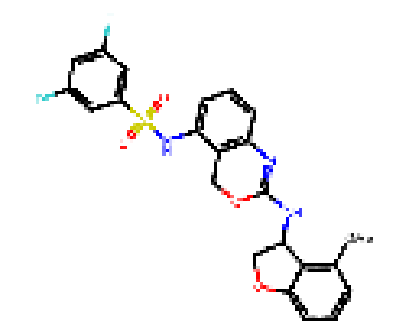 COc1cccc2c1C(NC1=Nc3cccc(NS(=O)(=O)c4cc(F)cc(F)c4)c3CO1)CO2